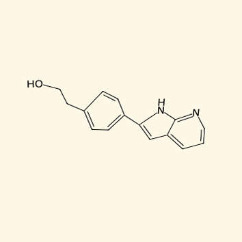 OCCc1ccc(-c2cc3cccnc3[nH]2)cc1